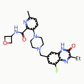 CCc1nc2c(F)cc(CN3CCN(c4ccc(C)nc4C(=O)NC4COC4)CC3)cc2[nH]c1=O